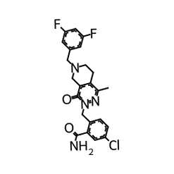 Cc1nn(Cc2ccc(Cl)cc2C(N)=O)c(=O)c2c1CCN(Cc1cc(F)cc(F)c1)C2